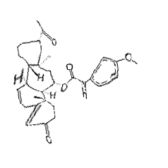 COc1ccc(NC(=O)O[C@H]2C[C@]3(C)[C@@H](C(C)=O)CC[C@H]3[C@@H]3C=CC4=CC(=O)CC[C@@]4(C)[C@@H]32)cc1